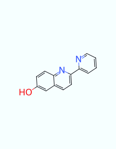 Oc1ccc2nc(-c3ccccn3)ccc2c1